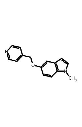 Cn1ccc2cc(OCc3ccncc3)ccc21